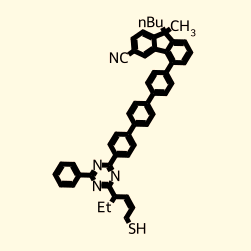 CCCCC1(C)c2ccc(C#N)cc2-c2c(-c3ccc(-c4ccc(-c5ccc(-c6nc(-c7ccccc7)nc(C(/C=C\CS)CC)n6)cc5)cc4)cc3)cccc21